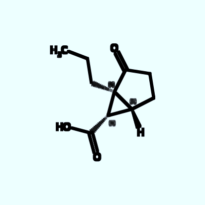 CCC[C@]12C(=O)CC[C@@H]1[C@@H]2C(=O)O